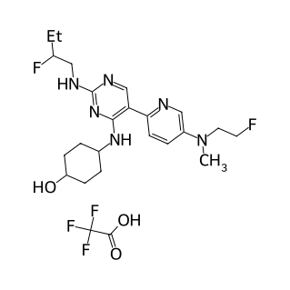 CCC(F)CNc1ncc(-c2ccc(N(C)CCF)cn2)c(NC2CCC(O)CC2)n1.O=C(O)C(F)(F)F